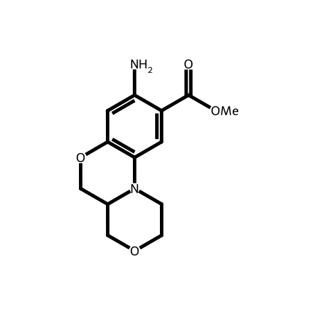 COC(=O)c1cc2c(cc1N)OCC1COCCN21